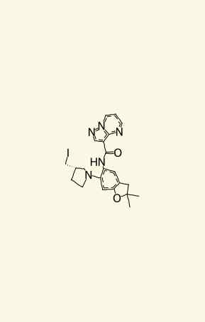 CC1(C)Cc2cc(NC(=O)c3cnn4cccnc34)c(N3CC[C@H](CI)C3)cc2O1